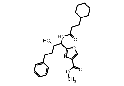 COC(=O)c1coc(C(NC(=O)CCC2CCCCC2)[C@@H](O)CCc2ccccc2)n1